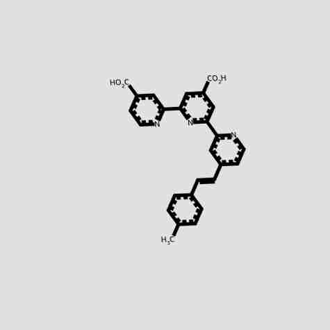 Cc1ccc(/C=C/c2ccnc(-c3cc(C(=O)O)cc(-c4cc(C(=O)O)ccn4)n3)c2)cc1